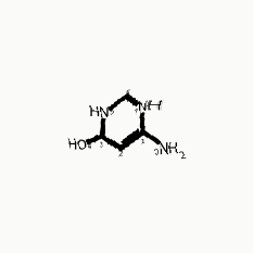 NC1=CC(O)NCN1